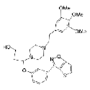 COc1cc(CCN2CCN(C(CCO)Oc3cccc(-c4noc5ccsc45)c3)CC2)cc(OC)c1OC